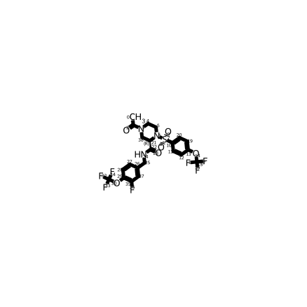 CC(=O)N1CCN(S(=O)(=O)c2ccc(OC(F)(F)F)cc2)[C@@H](C(=O)NCc2ccc(OC(F)(F)F)c(F)c2)C1